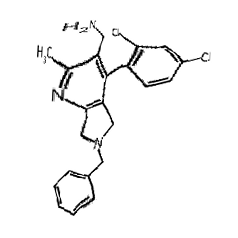 Cc1nc2c(c(-c3ccc(Cl)cc3Cl)c1CN)CN(Cc1ccccc1)C2